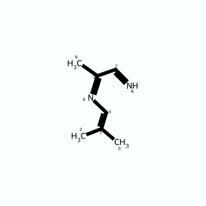 CC(C)=C/N=C(/C)C=N